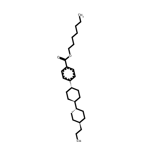 CCCCCCCOC(=O)c1ccc([C@H]2CC[C@H]([C@H]3CC[C@H](CCC)CC3)CC2)cc1